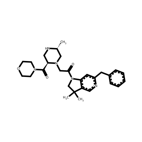 C[C@@H]1CN(CC(=O)N2CC(C)(C)c3cnc(Cc4ccccc4)cc32)[C@@H](C(=O)N2CCOCC2)CN1